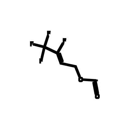 O=[C]OC/C=C(\F)C(F)(F)F